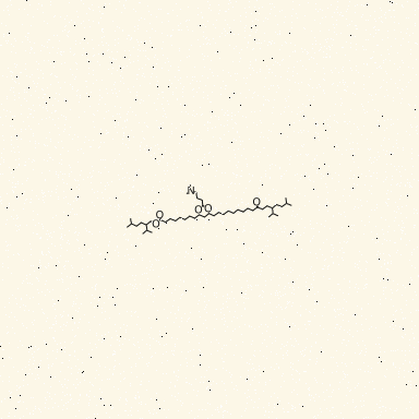 CC(C)CCC(CCC(=O)CCCCCCCCCC(CCCCCCCCCC(=O)OCC(CCC(C)C)C(C)C)OC(=O)CCCN(C)C)C(C)C